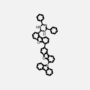 c1ccc(C2=NC(c3ccccc3)NC(c3cccc4oc5c(-c6ccc7oc8c(-n9c%10ccccc%10c%10ccccc%109)cccc8c7c6)cccc5c34)N2)cc1